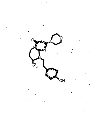 O=c1cc(N2CCOCC2)nc2n1CCC(C(F)(F)F)N2CCc1ccc(O)cc1